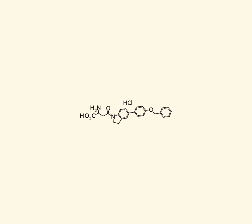 Cl.NC(CC(=O)N1CCc2cc(-c3ccc(OCc4ccccc4)cc3)ccc21)C(=O)O